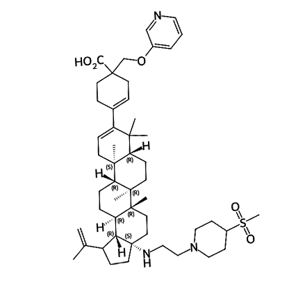 C=C(C)C1CC[C@]2(NCCN3CCC(S(C)(=O)=O)CC3)CC[C@]3(C)[C@H](CC[C@@H]4[C@@]5(C)CC=C(C6=CCC(COc7cccnc7)(C(=O)O)CC6)C(C)(C)[C@@H]5CC[C@]43C)[C@@H]12